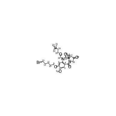 COc1cc2c(cc1OCCCCCBr)N(COCC[Si](C)(C)C)C(=O)[C@@H]1CC(=O)CN1C2=O